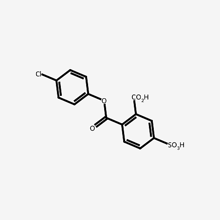 O=C(O)c1cc(S(=O)(=O)O)ccc1C(=O)Oc1ccc(Cl)cc1